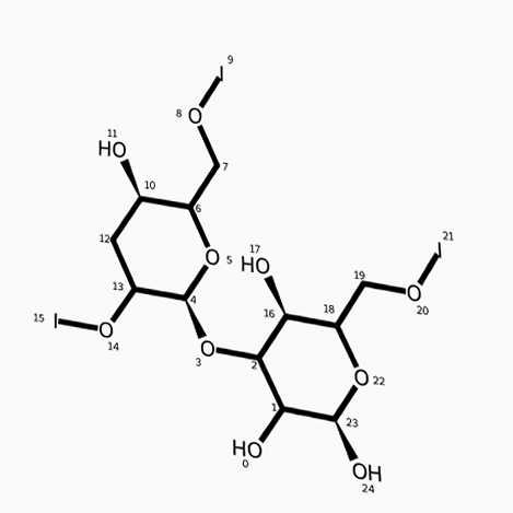 OC1C(O[C@@H]2OC(COI)[C@H](O)CC2OI)[C@@H](O)C(COI)O[C@H]1O